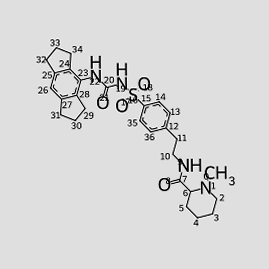 CN1CCCCC1C(=O)NCCc1ccc(S(=O)(=O)NC(=O)Nc2c3c(cc4c2CCC4)CCC3)cc1